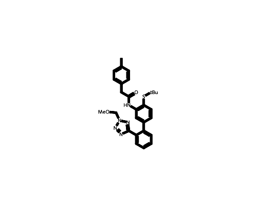 COCn1nnc(-c2ccccc2-c2ccc(SC(C)(C)C)c(NC(=O)Cc3ccc(C)cc3)c2)n1